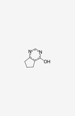 Oc1ncnc2c1CCC2